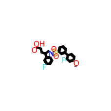 COC1=CC(F)C(c2cccc(S(=O)(=O)N3CC(CCC(=O)O)c4cc(F)ccc43)c2)C=C1